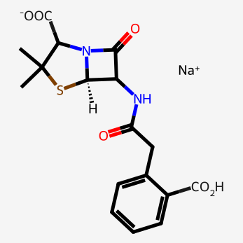 CC1(C)S[C@@H]2C(NC(=O)Cc3ccccc3C(=O)O)C(=O)N2C1C(=O)[O-].[Na+]